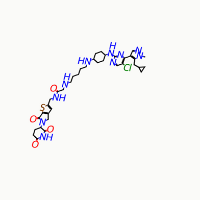 Cn1ncc(-c2nc(NC3CCC(NCCCCCNCC(=O)NCc4cc5c(s4)C(=O)N(C4CCC(=O)NC4=O)C5)CC3)ncc2Cl)c1CC1CC1